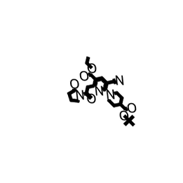 CCOC(=O)c1cc(C#N)c(N2CCC(C(=O)OC(C)(C)C)CC2)nc1CC(=O)N1CCCC1=O